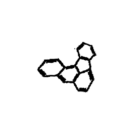 [c]1cccc2c1-c1c3ccccc3cc3cccc-2c13